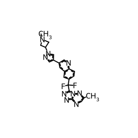 Cc1cnc2nnc(C(F)(F)c3ccc4ncc(-c5cnn(C6CN(C)C6)c5)cc4c3)n2n1